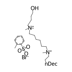 CCCCCCCCCCCC[N+](C)(C)CCCCCC[N+](C)(C)CCCCO.Cc1ccccc1S(=O)(=O)[O-].[Br-]